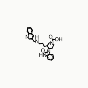 O=C(O)N1CCC(n2c(=O)[nH]c3ccccc32)C(CCCNCc2cnc3ccccc3c2)C1